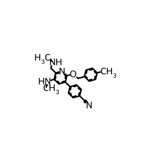 CNCc1nc(OCc2ccc(C)cc2)c(-c2ccc(C#N)cc2)cc1NC